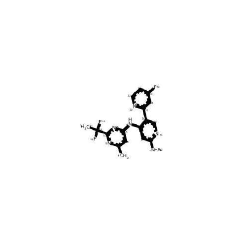 CC(=O)Nc1cc(Nc2cc(C)nc(C(C)(F)F)n2)c(-c2cc(F)ccn2)cn1